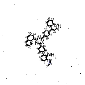 C/C=C\c1cccc(-c2ccc(-c3nc(C4=CC=C(C5=CCNc6ccccc65)CC4)nc(C4CC=Cc5ccccc54)n3)cc2)c1N